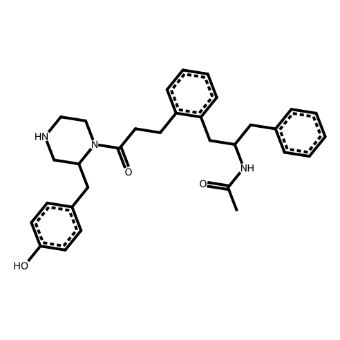 CC(=O)NC(Cc1ccccc1)Cc1ccccc1CCC(=O)N1CCNCC1Cc1ccc(O)cc1